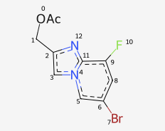 CC(=O)OCc1cn2cc(Br)cc(F)c2n1